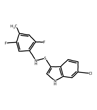 Cc1cc(F)c(NSc2c[nH]c3cc(Cl)ccc23)cc1F